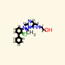 CN1N2C=C(CNCCO)C=NC2=CN1c1cccc(-c2ccccc2)c1Cl